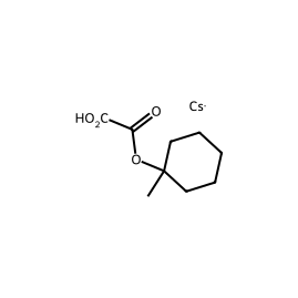 CC1(OC(=O)C(=O)O)CCCCC1.[Cs]